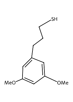 COc1cc(CCCS)cc(OC)c1